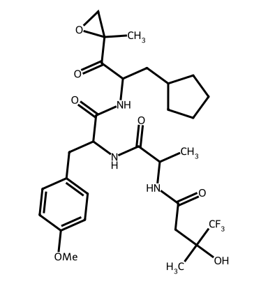 COc1ccc(CC(NC(=O)C(C)NC(=O)CC(C)(O)C(F)(F)F)C(=O)NC(CC2CCCC2)C(=O)C2(C)CO2)cc1